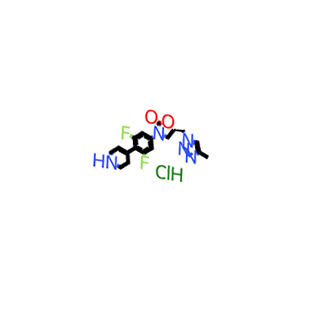 Cc1cn(C[C@H]2CN(c3cc(F)c(C4=CCNCC4)c(F)c3)C(=O)O2)nn1.Cl